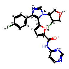 O=C(Nc1ccncn1)c1ccc(-c2c(-c3ccc(F)cc3)ncn2C2COCC2F)o1